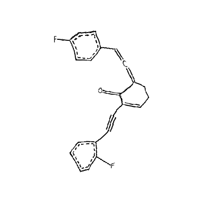 O=C1C(=C=Cc2ccc(F)cc2)CCC=C1C#Cc1ccccc1F